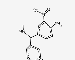 CNC(c1cccc(Cl)c1)c1ccc(N)c([N+](=O)[O-])c1